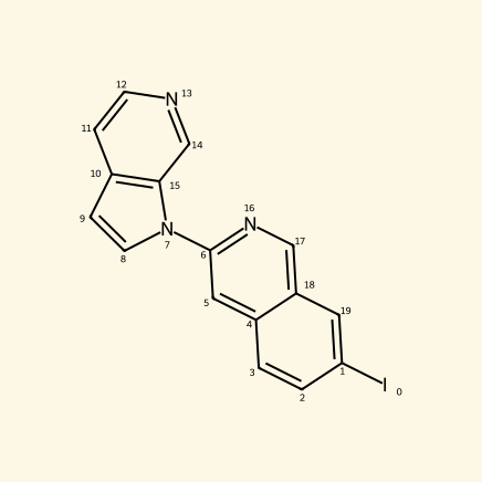 Ic1ccc2cc(-n3ccc4ccncc43)ncc2c1